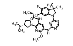 C=CC(=O)Nc1cc(Nc2ncnc(N3CC(C)(C)c4cc(F)c(Cl)cc43)n2)c(OC)nc1N1CC[C@@H](N(C)C)C1